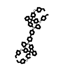 C=Cc1ccc(Oc2ccc(C3(c4ccc(Oc5ccc(C=C)cc5)cc4)c4ccccc4-c4ccc(N(c5ccccc5)c5ccc(-c6ccc(N(c7ccccc7)c7ccc8c(c7)C(c7ccc(Oc9ccc(C=C)cc9)cc7)(c7ccc(Oc9ccc(C=C)cc9)cc7)c7ccccc7-8)cc6)cc5)cc43)cc2)cc1